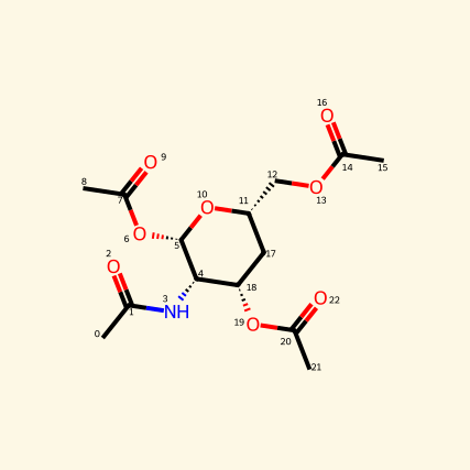 CC(=O)N[C@@H]1[C@H](OC(C)=O)O[C@H](COC(C)=O)C[C@@H]1OC(C)=O